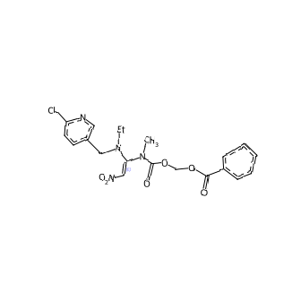 CCN(Cc1ccc(Cl)nc1)/C(=C\[N+](=O)[O-])N(C)C(=O)OCOC(=O)c1ccccc1